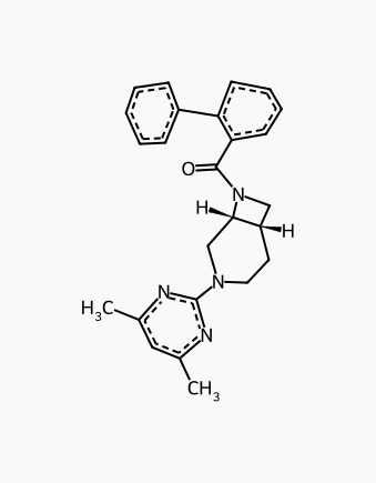 Cc1cc(C)nc(N2CC[C@H]3CN(C(=O)c4ccccc4-c4ccccc4)[C@H]3C2)n1